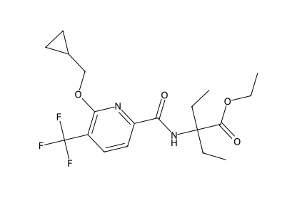 CCOC(=O)C(CC)(CC)NC(=O)c1ccc(C(F)(F)F)c(OCC2CC2)n1